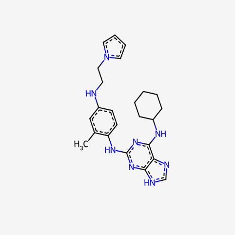 Cc1cc(NCCn2cccc2)ccc1Nc1nc(NC2CCCCC2)c2nc[nH]c2n1